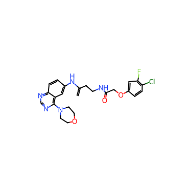 C=C(CCNC(=O)COc1ccc(Cl)c(F)c1)Nc1ccc2ncnc(N3CCOCC3)c2c1